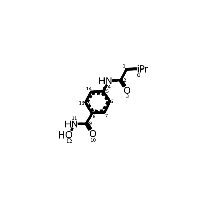 CC(C)CC(=O)Nc1ccc(C(=O)NO)cc1